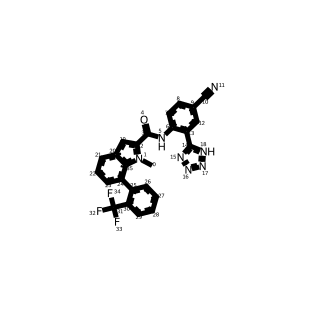 Cn1c(C(=O)Nc2ccc(C#N)cc2-c2nnn[nH]2)cc2cccc(-c3ccccc3C(F)(F)F)c21